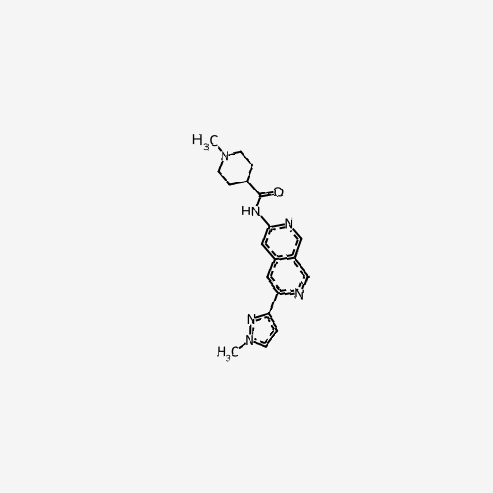 CN1CCC(C(=O)Nc2cc3cc(-c4ccn(C)n4)ncc3cn2)CC1